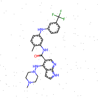 Cc1ccc(Nc2cccc(C(F)(F)F)c2)cc1NC(=O)c1cnc2[nH]ccc2c1NN1CCN(C)CC1